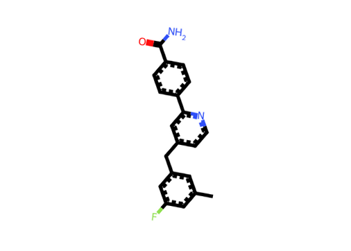 Cc1cc(F)cc(Cc2ccnc(-c3ccc(C(N)=O)cc3)c2)c1